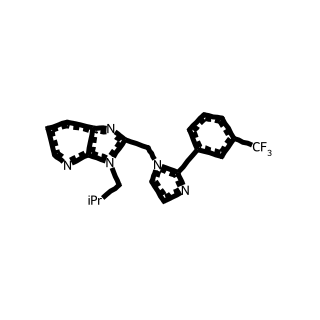 CC(C)Cn1c(Cn2ccnc2-c2cccc(C(F)(F)F)c2)nc2cccnc21